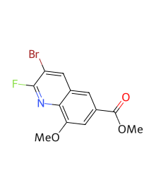 COC(=O)c1cc(OC)c2nc(F)c(Br)cc2c1